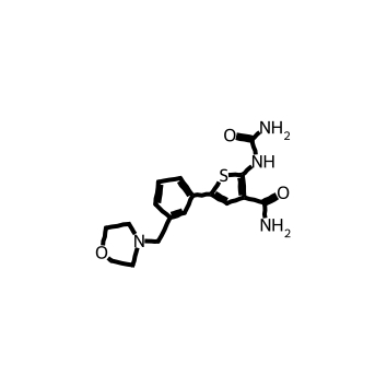 NC(=O)Nc1sc(-c2cccc(CN3CCOCC3)c2)cc1C(N)=O